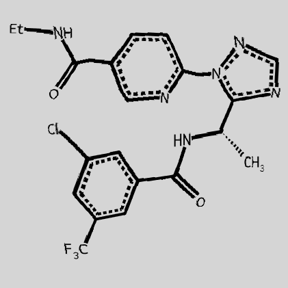 CCNC(=O)c1ccc(-n2ncnc2[C@H](C)NC(=O)c2cc(Cl)cc(C(F)(F)F)c2)nc1